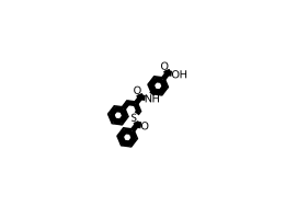 O=C(O)c1ccc(NC(=O)C(CSC(=O)c2ccccc2)Cc2ccccc2)cc1